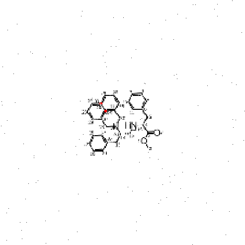 COC(=O)[C@H](Cc1ccccc1)NC[C@H](Cc1ccccc1)N(Cc1ccccc1)Cc1ccccc1